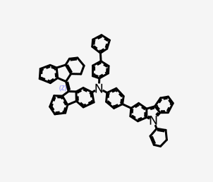 C1=CC(n2c3ccccc3c3cc(-c4ccc(N(c5ccc(-c6ccccc6)cc5)c5ccc6c(c5)/C(=C5\C7=C(C=CCC7)c7ccccc75)c5ccccc5-6)cc4)ccc32)=CCC1